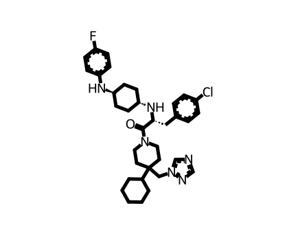 O=C([C@@H](Cc1ccc(Cl)cc1)N[C@H]1CC[C@H](Nc2ccc(F)cc2)CC1)N1CCC(Cn2cncn2)(C2CCCCC2)CC1